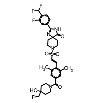 Cc1cc(C(=O)N2CCC(O)(CF)CC2)cc(C)c1/C=C/S(=O)(=O)N1CCC2(CC1)N=C(c1ccc(C(F)F)c(F)c1)NC2=O